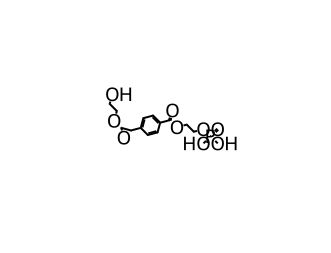 O=C(OCCOP(=O)(O)O)c1ccc(C2OC2OCCO)cc1